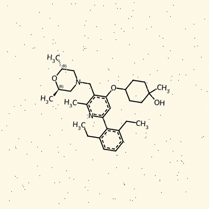 CCc1cccc(CC)c1-c1cc(OC2CCC(C)(O)CC2)c(CN2C[C@@H](C)O[C@H](C)C2)c(C)n1